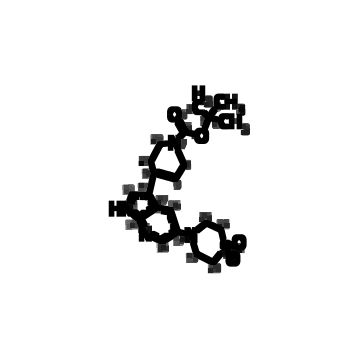 CC(C)(C)OC(=O)N1CC=C(c2c[nH]c3ncc(N4CCS(=O)(=O)CC4)cc23)CC1